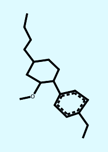 CCCCC1CCC(c2ccc(CC)cc2)C(OC)C1